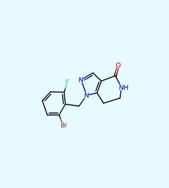 O=C1NCCc2c1cnn2Cc1c(F)cccc1Br